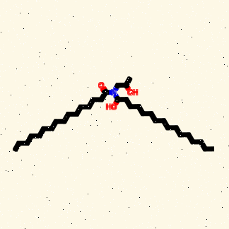 CCCCCCCCCCCCCCCC(=O)N(CC(C)O)C(O)CCCCCCCCCCCCCCC